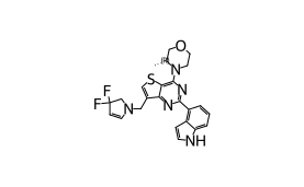 C[C@@H]1COCCN1c1nc(-c2cccc3[nH]ccc23)nc2c(CN3C=CC(F)(F)C3)csc12